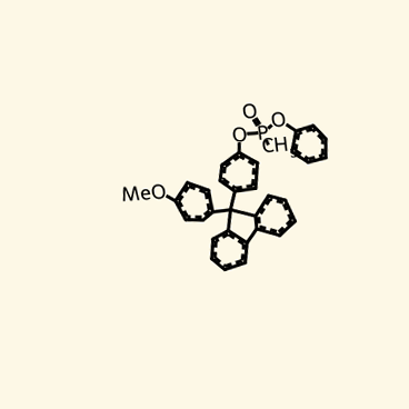 COc1ccc(C2(c3ccc(OP(C)(=O)Oc4ccccc4)cc3)c3ccccc3-c3ccccc32)cc1